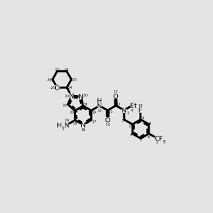 CCN(Cc1ccc(C(F)(F)F)cc1F)C(=O)C(=O)Nc1cnc(N)c2cn(C3CCCCO3)nc12